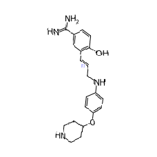 N=C(N)c1ccc(O)c(/C=C/CNc2ccc(OC3CCNCC3)cc2)c1